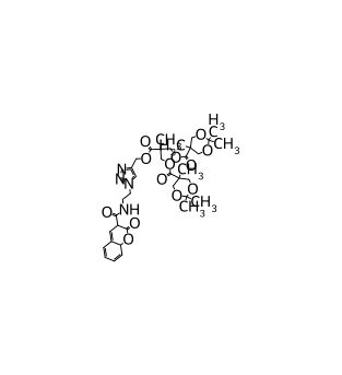 CC1(C)OCC(C)(C(=O)OCC(C)(COC(=O)C2(C)COC(C)(C)OC2)C(=O)OCc2cn(CCNC(=O)C3C=C4C=CC=CC4OC3=O)nn2)CO1